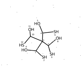 OC(S)C(C(O)S)(C(O)S)C(O)S